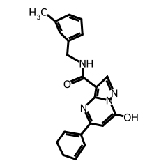 Cc1cccc(CNC(=O)c2cnn3c(O)cc(C4=CCCC=C4)nc23)c1